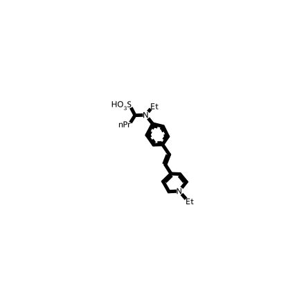 CCCC(N(CC)c1ccc(/C=C/C2=CCN(CC)C=C2)cc1)S(=O)(=O)O